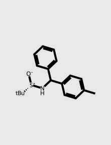 Cc1ccc(C(N[S@@+]([O-])C(C)(C)C)c2ccccc2)cc1